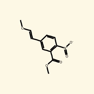 COC=Cc1ccc([N+](=O)[O-])c(C(=O)OC)c1